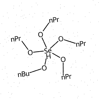 CCCCO[SeH](OCCC)(OCCC)(OCCC)OCCC